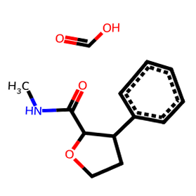 CNC(=O)C1OCCC1c1ccccc1.O=CO